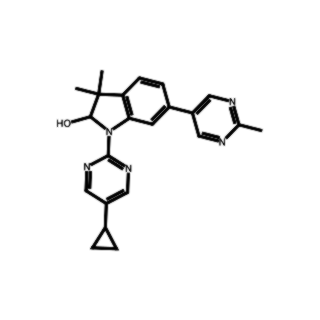 Cc1ncc(-c2ccc3c(c2)N(c2ncc(C4CC4)cn2)C(O)C3(C)C)cn1